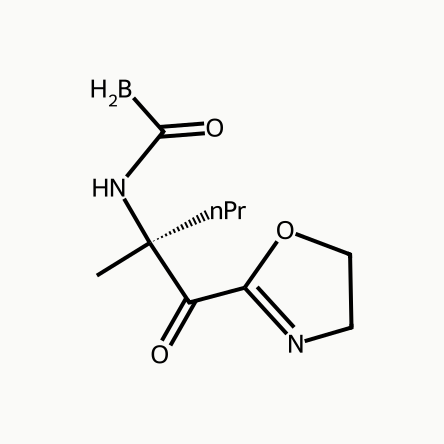 BC(=O)N[C@@](C)(CCC)C(=O)C1=NCCO1